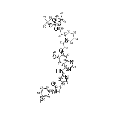 COc1cc2c(Nc3ncc(CC(=O)Nc4cccc(F)c4)s3)ncnc2cc1OCCN1CCCCC1CCOP(=O)(OC(C)(C)C)OC(C)(C)C